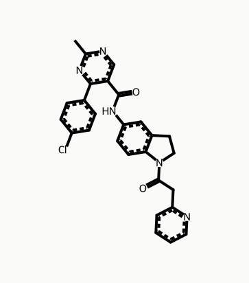 Cc1ncc(C(=O)Nc2ccc3c(c2)CCN3C(=O)Cc2ccccn2)c(-c2ccc(Cl)cc2)n1